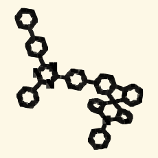 c1ccc(-c2ccc(-c3nc(-c4ccccc4)nc(-c4ccc(-c5ccc6c(c5)C5(c7ccccc7-6)c6ccccc6N(c6ccccc6)c6ccccc65)cc4)n3)cc2)cc1